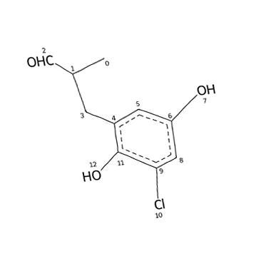 CC(C=O)Cc1cc(O)cc(Cl)c1O